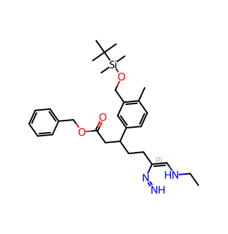 CCN/C=C(/CCC(CC(=O)OCc1ccccc1)c1ccc(C)c(CO[Si](C)(C)C(C)(C)C)c1)N=N